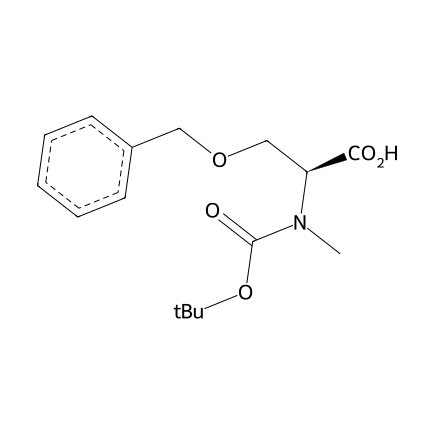 CN(C(=O)OC(C)(C)C)[C@@H](COCc1ccccc1)C(=O)O